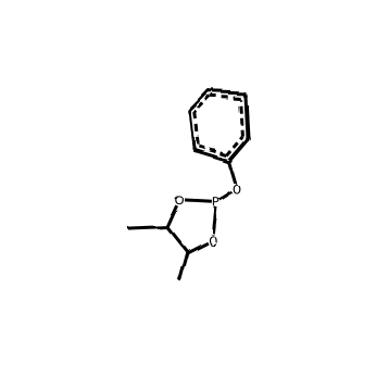 CC1OP(Oc2ccccc2)OC1C